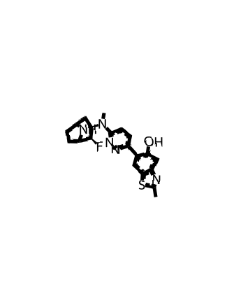 Cc1nc2cc(O)c(-c3ccc(N(C)[C@@H]4CC5CCC(N5)[C@@H]4F)nn3)cc2s1